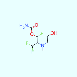 CN(CCO)C(C(F)F)C(F)OC(N)=O